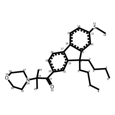 CCCCC1(CCCC)c2cc(SC)ccc2-c2ccc(C(=O)C(C)(C)N3CCOCC3)cc21